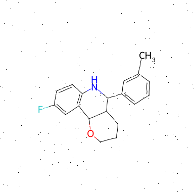 Cc1cccc(C2Nc3ccc(F)cc3C3OCCCC23)c1